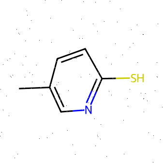 Cc1ccc(S)nc1